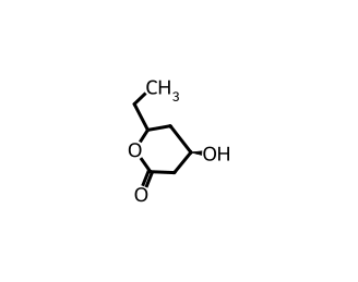 CCC1C[C@@H](O)CC(=O)O1